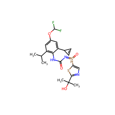 CC(C)c1cc(OC(F)F)cc(C2C=C2)c1NC(=O)/N=[SH](=O)\c1cnc(C(C)(C)O)s1